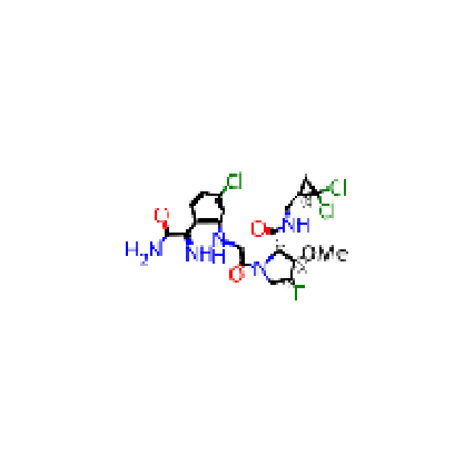 CO[C@H]1[C@@H](C(=O)NC[C@H]2CC2(Cl)Cl)N(C(=O)CNc2cc(Cl)ccc2C(=N)C(N)=O)C[C@@H]1F